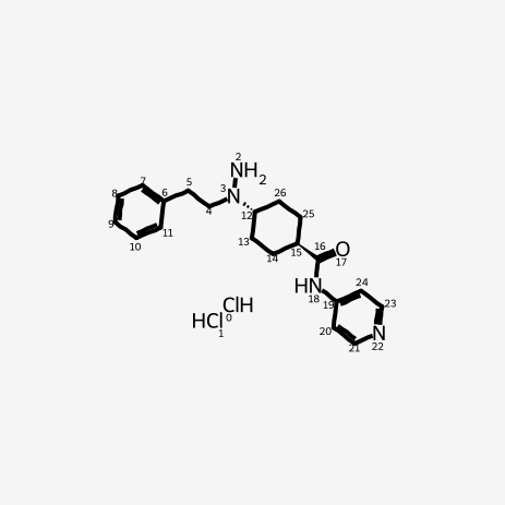 Cl.Cl.NN(CCc1ccccc1)[C@H]1CC[C@H](C(=O)Nc2ccncc2)CC1